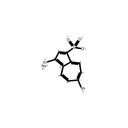 CCc1cc(S(=O)(=O)[O-])c2ccc(C(C)C)ccc1-2.[Na+]